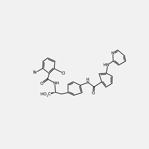 O=C(Nc1ccc(C[C@H](NC(=O)c2c(Cl)cccc2Br)C(=O)O)cc1)c1cccc(Nc2ccccn2)c1